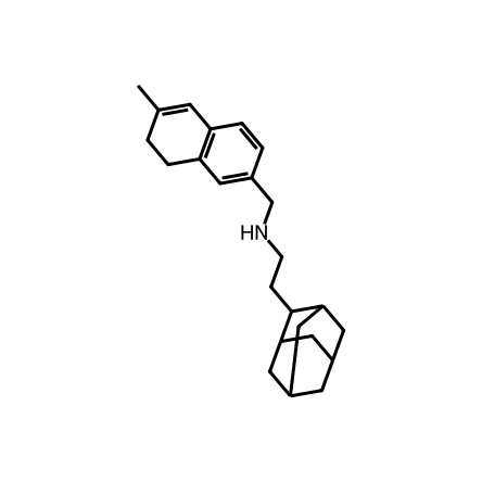 CC1=Cc2ccc(CNCCC3C4CC5CC(C4)CC3C5)cc2CC1